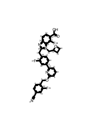 N#Cc1ccc(COc2cccc(-c3ccc(Cc4nc5ccc(C(=O)O)c(F)c5n4CC4CCO4)c(F)c3)n2)c(F)c1